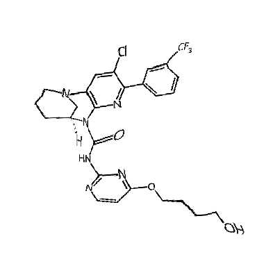 O=C(Nc1nccc(OCCCCO)n1)N1c2nc(-c3cccc(C(F)(F)F)c3)c(Cl)cc2N2CCC[C@H]1C2